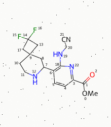 COC(=O)c1ccc(C2CC3(CCN2)CC(F)(F)C3)c(NCC#N)n1